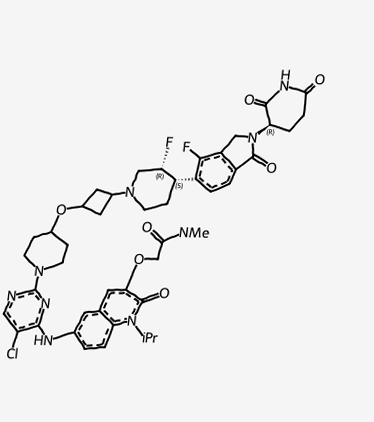 CNC(=O)COc1cc2cc(Nc3nc(N4CCC(OC5CC(N6CC[C@@H](c7ccc8c(c7F)CN([C@@H]7CCC(=O)NC7=O)C8=O)[C@@H](F)C6)C5)CC4)ncc3Cl)ccc2n(C(C)C)c1=O